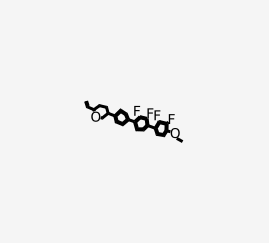 C=CC1CCC(c2ccc(-c3ccc(-c4ccc(OCC)c(F)c4F)c(F)c3F)cc2)CO1